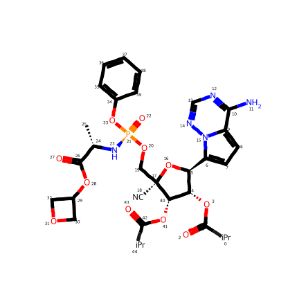 CC(C)C(=O)O[C@H]1[C@H](c2ccc3c(N)ncnn23)O[C@](C#N)(CO[P@](=O)(N[C@@H](C)C(=O)OC2COC2)Oc2ccccc2)[C@H]1OC(=O)C(C)C